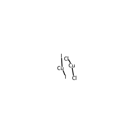 [Cl][Cu][Cl].[I][Cu][I]